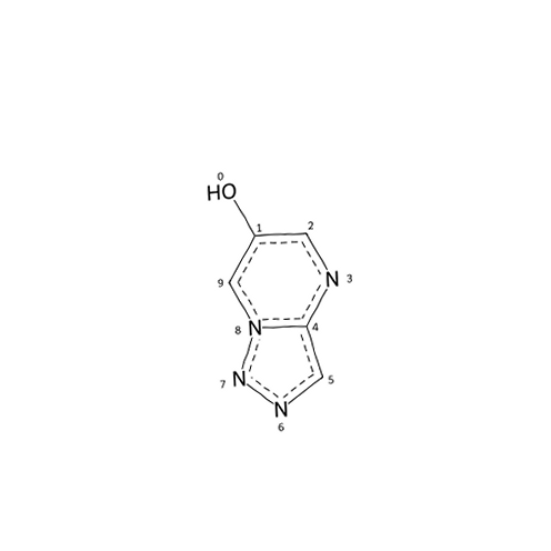 Oc1cnc2cnnn2c1